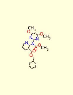 COC(=O)N(c1nc(OC)cc(OC)n1)c1ncccc1C(=O)OCc1ccccc1